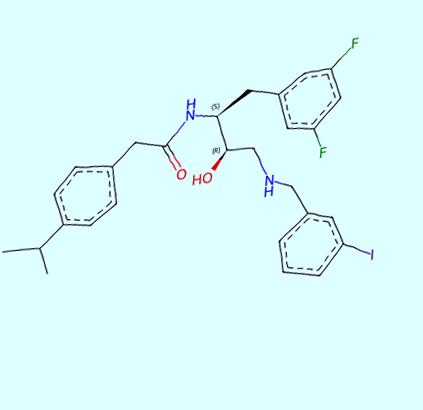 CC(C)c1ccc(CC(=O)N[C@@H](Cc2cc(F)cc(F)c2)[C@H](O)CNCc2cccc(I)c2)cc1